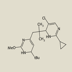 COC1=NC(CC(C)(C)C2NC(C3CC3)=NC=C2Cl)=CC(C(C)(C)C)N1